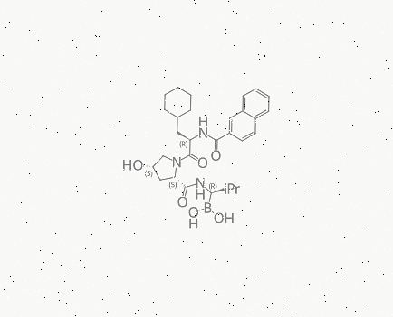 CC(C)[C@H](NC(=O)[C@@H]1C[C@H](O)CN1C(=O)[C@@H](CC1CCCCC1)NC(=O)c1ccc2ccccc2c1)B(O)O